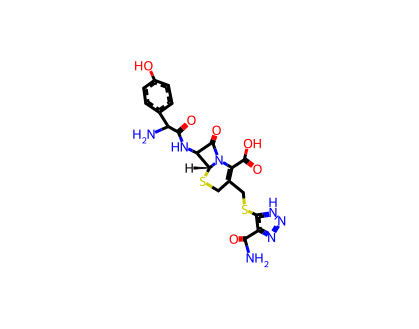 NC(=O)c1nn[nH]c1SCC1=C(C(=O)O)N2C(=O)C(NC(=O)C(N)c3ccc(O)cc3)[C@H]2SC1